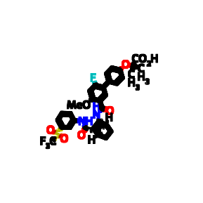 COc1cc(F)c(-c2ccc(OC(C)(C)C(=O)O)cc2)cc1C(=O)N[C@@H]1[C@H]2CC[C@H](C2)[C@@H]1C(=O)Nc1cccc(S(=O)(=O)C(F)(F)F)c1